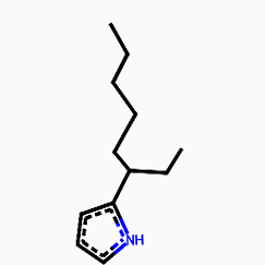 CCCCCC(CC)c1ccc[nH]1